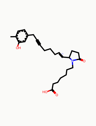 Cc1ccc(CC#CCCC/C=C/C2CCC(=O)N2CCCCCCC(=O)O)cc1O